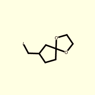 ICC1CCC2(C1)OCCO2